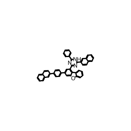 c1ccc(C2=NC(c3cc(-c4ccc(-c5ccc6ccccc6c5)cc4)cc4oc5ccccc5c34)=NC(c3ccc4ccccc4c3)N2)cc1